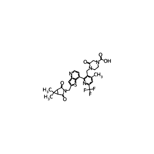 Cc1cc(C(F)(F)F)nc(-c2ccnc3cc(CN4C(=O)C5C(C4=O)C5(C)C)sc23)c1CN1CCN(C(=O)O)CC1=O